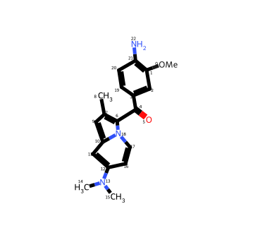 COc1cc(C(=O)c2c(C)cc3cc(N(C)C)ccn23)ccc1N